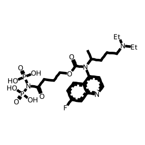 CCN(CC)CCCC(C)N(C(=O)OCCCC(=O)N(P(=O)(O)O)P(=O)(O)O)c1ccnc2cc(F)ccc12